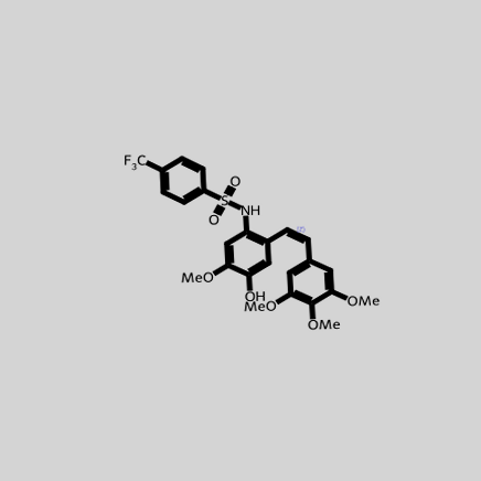 COc1cc(NS(=O)(=O)c2ccc(C(F)(F)F)cc2)c(/C=C\c2cc(OC)c(OC)c(OC)c2)cc1O